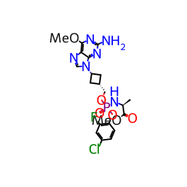 COC(=O)[C@H](C)NP(=O)(OC[C@H]1C[C@@H](n2cnc3c(OC)nc(N)nc32)C1)Oc1ccc(Cl)cc1F